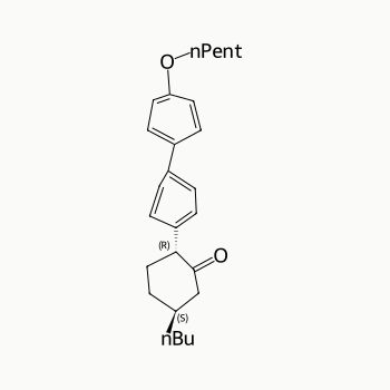 CCCCCOc1ccc(-c2ccc([C@H]3CC[C@H](CCCC)CC3=O)cc2)cc1